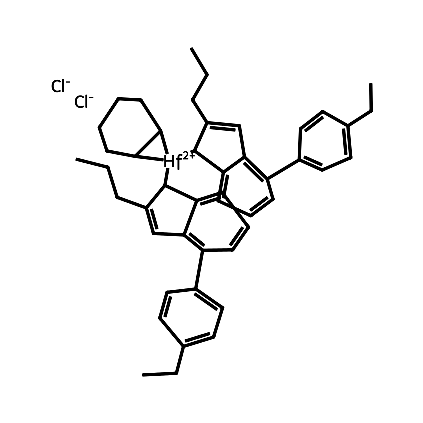 CCCC1=Cc2c(-c3ccc(CC)cc3)cccc2[CH]1[Hf+2]1([CH]2C(CCC)=Cc3c(-c4ccc(CC)cc4)cccc32)[CH]2CCCC[CH]21.[Cl-].[Cl-]